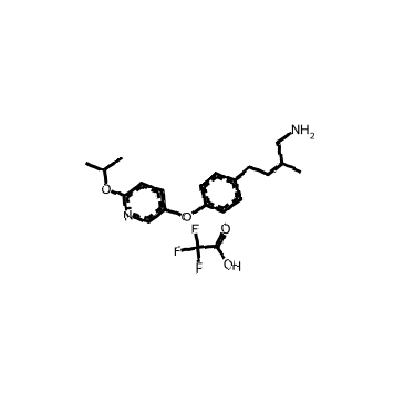 CC(CN)CCc1ccc(Oc2ccc(OC(C)C)nc2)cc1.O=C(O)C(F)(F)F